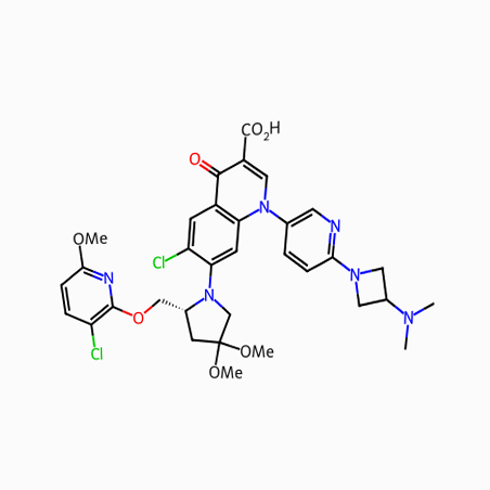 COc1ccc(Cl)c(OC[C@H]2CC(OC)(OC)CN2c2cc3c(cc2Cl)c(=O)c(C(=O)O)cn3-c2ccc(N3CC(N(C)C)C3)nc2)n1